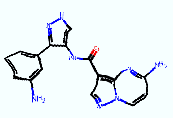 Nc1cccc(-c2n[nH]cc2NC(=O)c2cnn3ccc(N)nc23)c1